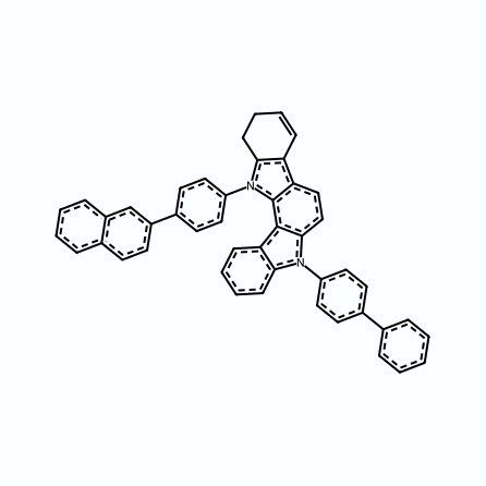 C1=Cc2c(n(-c3ccc(-c4ccc5ccccc5c4)cc3)c3c2ccc2c3c3ccccc3n2-c2ccc(-c3ccccc3)cc2)CC1